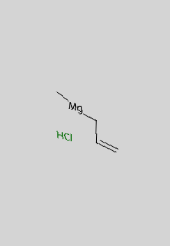 C=C[CH2][Mg][CH3].Cl